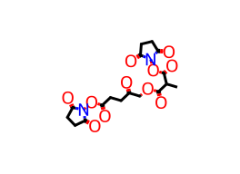 CC(C(=O)OCC(=O)CCC(=O)ON1C(=O)CCC1=O)C(=O)ON1C(=O)CCC1=O